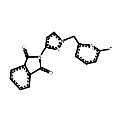 O=C1c2ccccc2C(=O)N1c1ccn(Cc2cccc(F)n2)n1